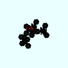 c1ccc(-c2ccc3c(c2)c2ccccc2n3-c2ccc(-c3nc(-c4ccccc4)nc(-c4ccccc4)n3)cc2-c2cc(-c3ccccc3)nc(-c3cccc(-c4ccc(N5c6ccccc6B6c7ccccc7N(c7ccccc7)c7cccc5c76)cc4)c3)n2)cc1